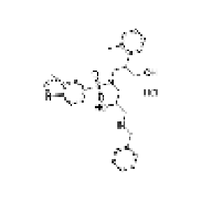 Cc1ccccc1C(CO)CN(C[C@H](O)CNCc1ccccc1)S(=O)(=O)c1ccc2ncsc2c1.Cl